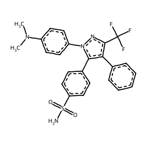 CN(C)c1ccc(-n2nc(C(F)(F)F)c(-c3ccccc3)c2-c2ccc(S(N)(=O)=O)cc2)cc1